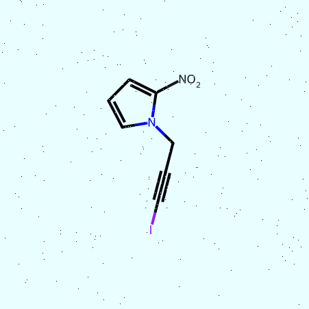 O=[N+]([O-])c1cccn1CC#CI